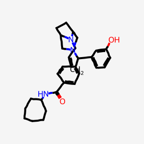 C=CCN1C2CCC1CN(C(c1ccc(C(=O)NC3CCCCCC3)cc1)c1cccc(O)c1)C2